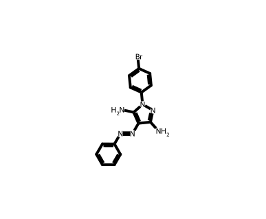 Nc1nn(-c2ccc(Br)cc2)c(N)c1N=Nc1ccccc1